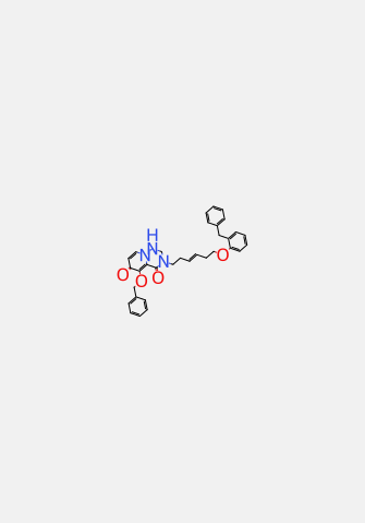 O=C1c2c(OCc3ccccc3)c(=O)ccn2NCN1CC/C=C/CCOc1ccccc1Cc1ccccc1